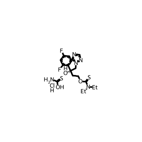 CCN(CC)C(=S)OCC[C@](O)(Cn1cncn1)c1ccc(F)cc1F.Cl.NC(O)=S